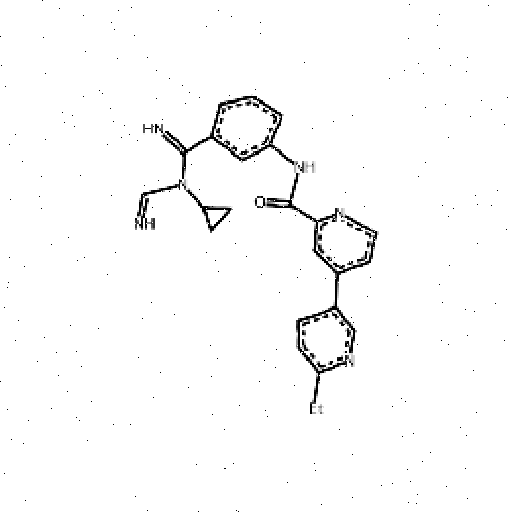 CCc1ccc(-c2ccnc(C(=O)Nc3cccc(C(=N)N(C=N)C4CC4)c3)c2)cn1